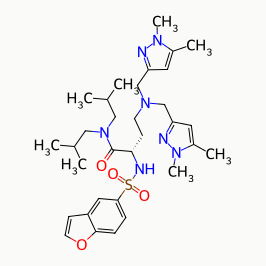 Cc1cc(CN(CC[C@H](NS(=O)(=O)c2ccc3occc3c2)C(=O)N(CC(C)C)CC(C)C)Cc2cc(C)n(C)n2)nn1C